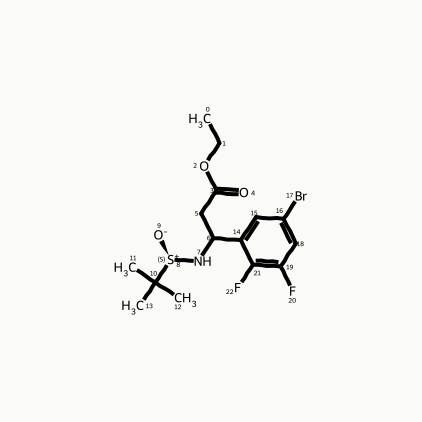 CCOC(=O)CC(N[S@+]([O-])C(C)(C)C)c1cc(Br)cc(F)c1F